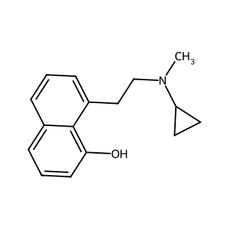 CN(CCc1cccc2cccc(O)c12)C1CC1